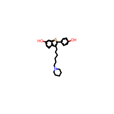 Oc1ccc(-c2sc3cc(O)ccc3c2CCCCCCN2CCCCC2)cc1